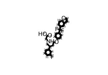 O=C(O)CNCC(CCOc1ccc(C(F)(F)c2ccc3occc3c2)cc1)c1cccc(F)c1